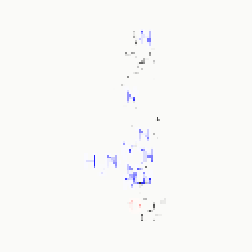 Nc1nc(N2CCC[C@@H](CN3CCC(c4ccncc4)CC3)C2)nc2nc(-c3ccco3)nn12